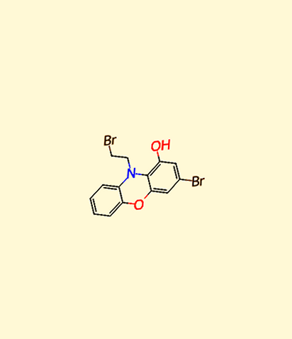 Oc1cc(Br)cc2c1N(CCBr)c1ccccc1O2